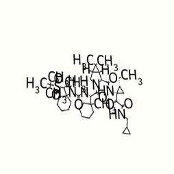 CC[C@@H]1C[C@@]1(NC(=O)[C@@H]1[C@@H]2[C@H](CN1C(=O)[C@@H](NC(=O)NC1([C@H](C)S(=O)(=O)C(C)(C)C)CCCCC1)C1(C)CCCCC1)C2(C)C)C(=O)C(=O)NCC1CC1